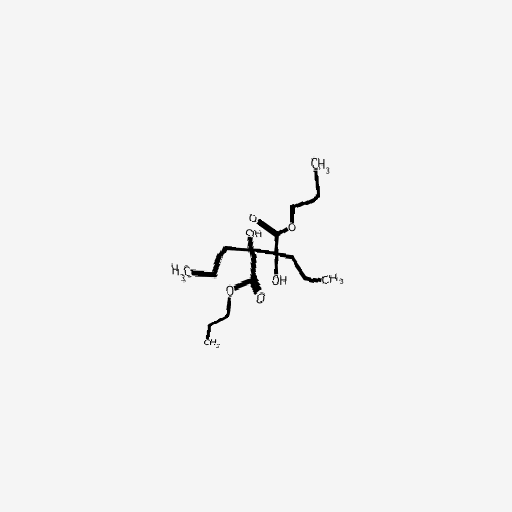 CCCOC(=O)C(O)(CCC)C(O)(CCC)C(=O)OCCC